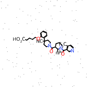 CCCC1C(C(=O)N2CCC(C#N)(c3ccccc3OCCCCC(=O)O)CC2)CCCN1C(=O)c1cnccc1C(F)(F)F